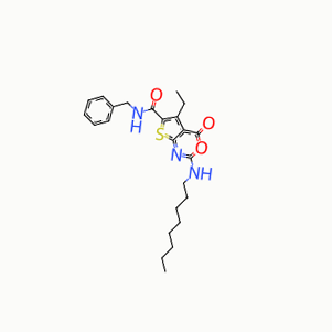 CCCCCCCCNc1nc2sc(C(=O)NCc3ccccc3)c(CC)c2c(=O)o1